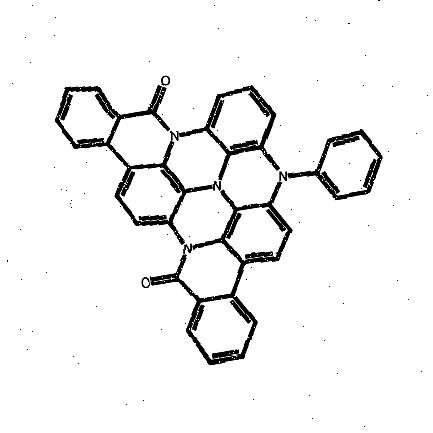 O=c1c2ccccc2c2ccc3c4c2n1c1ccc2c5ccccc5c(=O)n5c6cccc(c6n4c1c25)n3-c1ccccc1